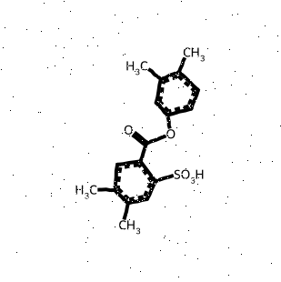 Cc1ccc(OC(=O)c2cc(C)c(C)cc2S(=O)(=O)O)cc1C